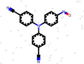 N#Cc1ccc(N(c2ccc(C#N)cc2)c2ccc(N=O)cc2)cc1